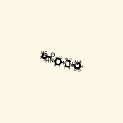 O=C(N[C@H]1CC[C@H](N2CCN(c3ccccn3)CC2)CC1)c1cccs1